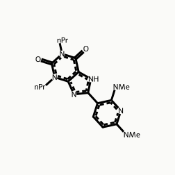 CCCn1c(=O)c2[nH]c(-c3ccc(NC)nc3NC)nc2n(CCC)c1=O